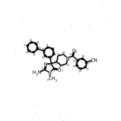 CN1C(=O)C(c2cccc(-c3ccccc3)c2)(C2CCN(C(=O)c3cccc(C#N)c3)CC2)N=C1N